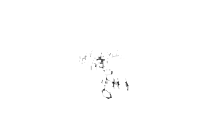 CC(C)(O)C(C)(C)OBc1cccc(C(=N)/C=C\C(=N)c2ccccc2)c1